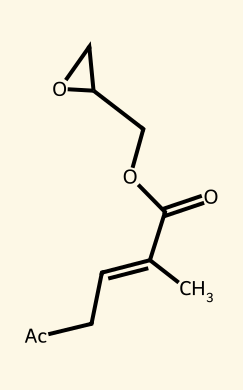 CC(=O)CC=C(C)C(=O)OCC1CO1